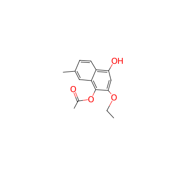 CCOc1cc(O)c2ccc(C)cc2c1OC(C)=O